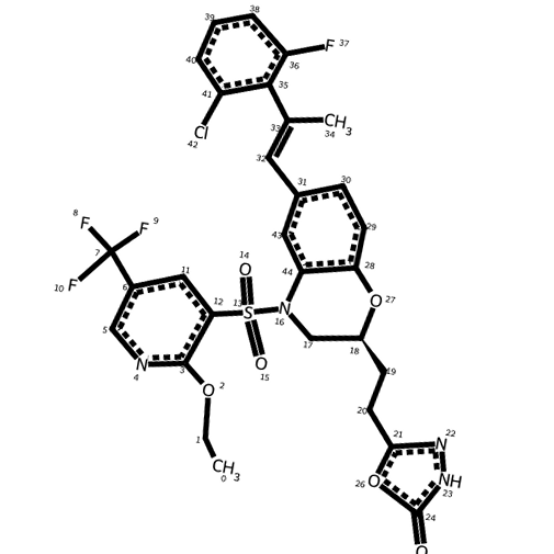 CCOc1ncc(C(F)(F)F)cc1S(=O)(=O)N1C[C@H](CCc2n[nH]c(=O)o2)Oc2ccc(/C=C(\C)c3c(F)cccc3Cl)cc21